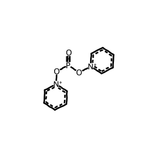 O=[PH](O[n+]1ccccc1)O[n+]1ccccc1